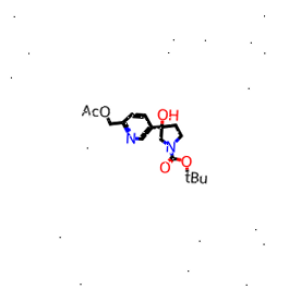 CC(=O)OCc1ccc(C2(O)CCN(C(=O)OC(C)(C)C)C2)cn1